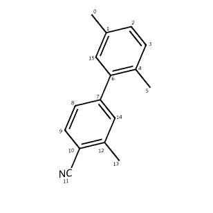 Cc1ccc(C)c(-c2ccc(C#N)c(C)c2)c1